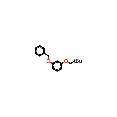 CC(C)(C)COc1cccc(OCc2ccccc2)c1